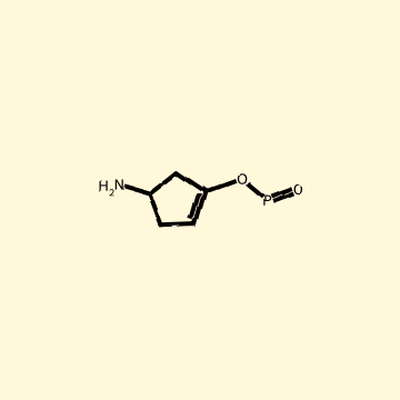 NC1CC=C(OP=O)C1